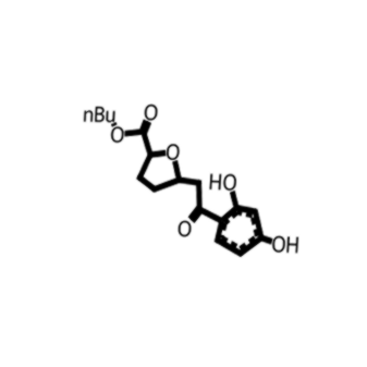 CCCCOC(=O)C1CCC(CC(=O)c2ccc(O)cc2O)O1